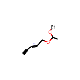 C#C/C=C/COC(C)OCC